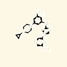 Cc1cc(Nc2ncn(-c3cncc(C)n3)n2)cc(N2CCN(C3CC3)CC2)c1